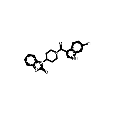 O=C(c1c[nH]c2cc(Cl)ccc12)N1CCC(n2c(=O)oc3ccccc32)CC1